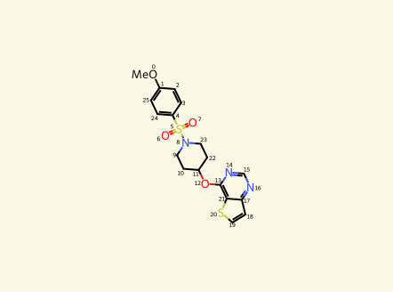 COc1ccc(S(=O)(=O)N2CCC(Oc3ncnc4ccsc34)CC2)cc1